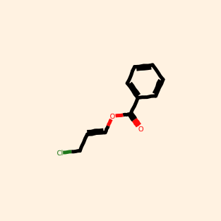 O=C(OC=CCCl)c1ccccc1